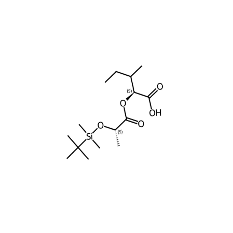 CCC(C)[C@H](OC(=O)[C@H](C)O[Si](C)(C)C(C)(C)C)C(=O)O